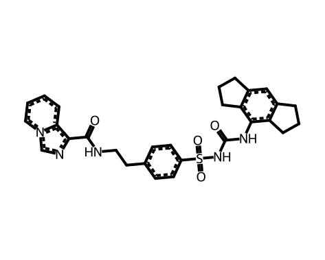 O=C(Nc1c2c(cc3c1CCC3)CCC2)NS(=O)(=O)c1ccc(CCNC(=O)c2ncn3ccccc23)cc1